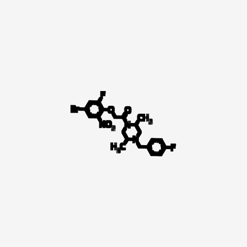 CC1CN(C(=O)COc2c(F)cc(Br)cc2[N+](=O)[O-])C(C)CN1Cc1ccc(F)cc1